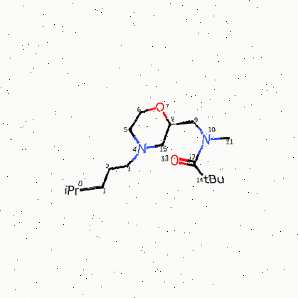 CC(C)CCCN1CCO[C@@H](CN(C)C(=O)C(C)(C)C)C1